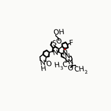 C=CC(=O)N1CCn2nc(-c3nc(-c4ccc5c(c4)C(=O)NCC5)c4ccsc4c3-c3c(F)cc(F)cc3OCCO)cc2[C@H]1C